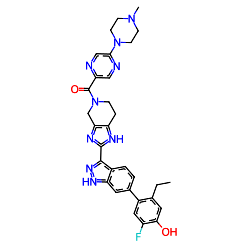 CCc1cc(O)c(F)cc1-c1ccc2c(-c3nc4c([nH]3)CCN(C(=O)c3cnc(N5CCN(C)CC5)cn3)C4)n[nH]c2c1